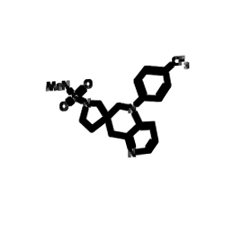 CNS(=O)(=O)N1CCC2(Cc3ncccc3N(c3ccc(C(F)(F)F)cc3)C2)C1